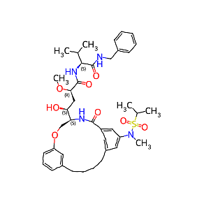 CO[C@H](C[C@H](O)[C@@H]1COc2cccc(c2)CCCCc2cc(cc(N(C)S(=O)(=O)C(C)C)c2)C(=O)N1)C(=O)N[C@H](C(=O)NCc1ccccc1)C(C)C